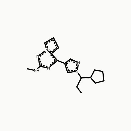 CCC(C1CCCC1)n1cc(-c2nc(NC)nn3cccc23)cn1